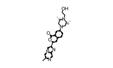 Cc1cn2cc(-c3cc4ccc(N5C[C@@H](C)N(CCO)[C@@H](C)C5)cc4c(=O)o3)nc2cn1